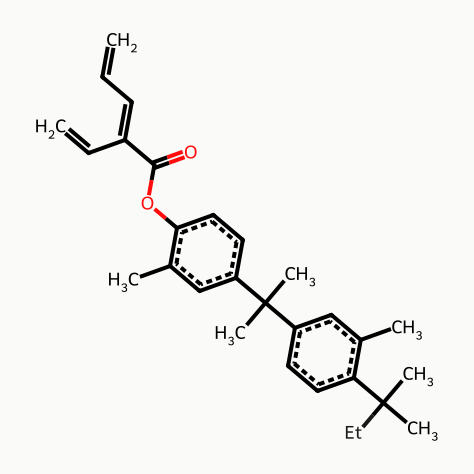 C=C/C=C(\C=C)C(=O)Oc1ccc(C(C)(C)c2ccc(C(C)(C)CC)c(C)c2)cc1C